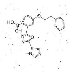 Cn1cncc1-c1nnc(-c2cc(OCCc3ccccc3)ccc2B(O)O)o1